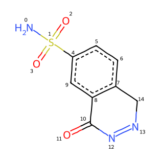 NS(=O)(=O)c1ccc2c(c1)C(=O)N=NC2